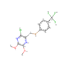 COc1nc(Br)c(CSc2ccc(C(F)(F)F)cc2)nc1OC